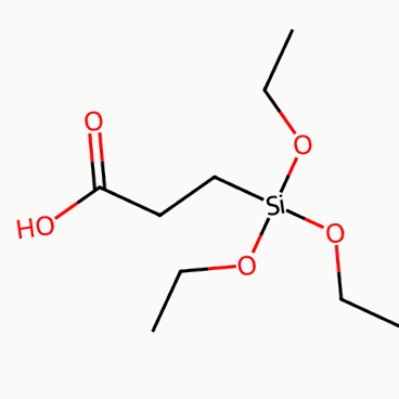 CCO[Si](CCC(=O)O)(OCC)OCC